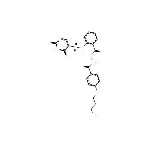 CCCCOc1ccc(C(=O)NNC(=O)c2ccccc2NS(=O)(=O)c2c[nH]c(=O)[nH]c2=O)cc1